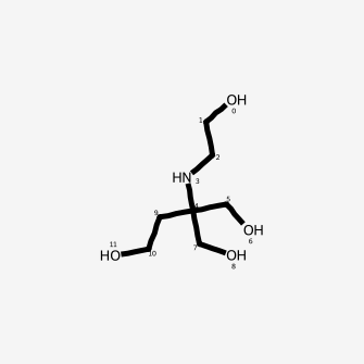 OCCNC(CO)(CO)CCO